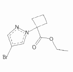 CCOC(=O)C1(n2cc(Br)cn2)CCC1